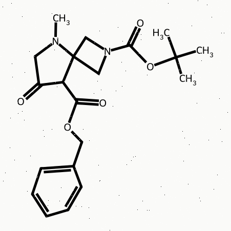 CN1CC(=O)C(C(=O)OCc2ccccc2)C12CN(C(=O)OC(C)(C)C)C2